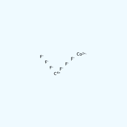 [C+4].[Co+2].[F-].[F-].[F-].[F-].[F-].[F-]